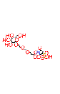 O=C(CCOCCOCCO[C@@H]1OC(CO)C(O)C(O)C1O)ON1C(=O)CC(S(=O)(=O)O)C1=O